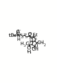 C=C1OC(O)C(C(C)O)CC1CC(CC)NC(=O)CCCCN[S+]([O-])C(C)(C)C